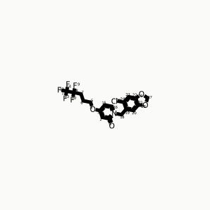 O=c1cc(OCCCC(F)(F)C(F)(F)F)ccn1Cc1cc2c(cc1Cl)OCO2